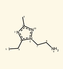 Cc1nc(CI)n(CCN)n1